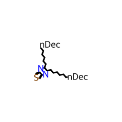 CCCCCCCCCCCCCCCCc1nc2cscc2nc1CCCCCCCCCCCCCCCC